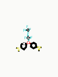 C[S+](C)c1ccc(Oc2ccc([S+](C)C)cc2)cc1.F[B-](F)(F)F.F[B-](F)(F)F